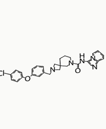 O=C(Nc1cnc2ccccn12)N1CCCC2(CN(Cc3cccc(Oc4ccc(Cl)cc4)c3)C2)C1